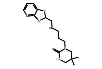 CC1(C)CNC(=O)N(CCCNCC2Oc3cccnc3O2)C1